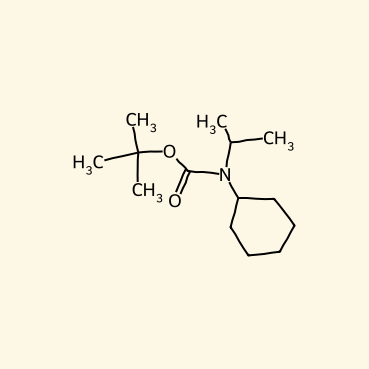 CC(C)N(C(=O)OC(C)(C)C)C1CCCCC1